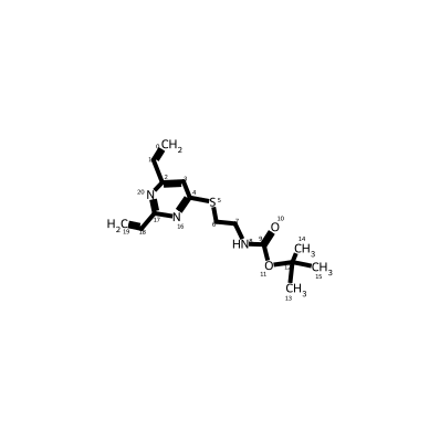 C=Cc1cc(SCCNC(=O)OC(C)(C)C)nc(C=C)n1